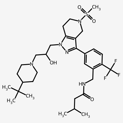 CC(C)CC(=O)NCc1cc(-c2nn(CC(O)CN3CCC(C(C)(C)C)CC3)c3c2CN(S(C)(=O)=O)CC3)ccc1C(F)(F)F